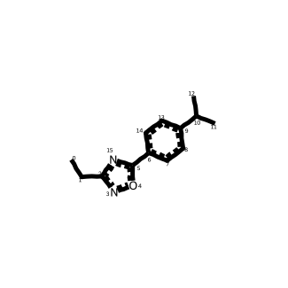 CCc1noc(-c2ccc(C(C)C)cc2)n1